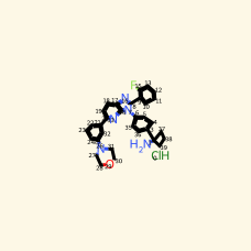 Cl.NC1(c2ccc(-n3c(-c4ccccc4F)nc4ccc(-c5cccc(N6CCOCC6)c5)nc43)cc2)CCC1